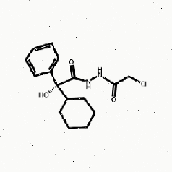 O=C(CCl)NNC(=O)[C@](O)(c1ccccc1)C1CCCCC1